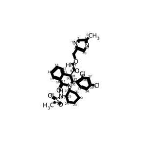 Cc1cnc(CONC(=O)[C@@H]2c3ccccc3C(=O)N(C3CCCC[C@@H]3NS(C)(=O)=O)[C@H]2c2ccc(Cl)cc2Cl)cn1